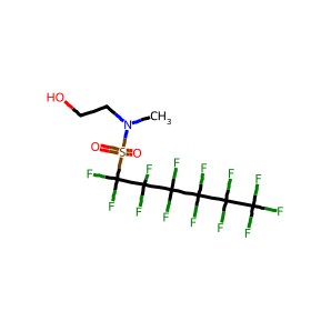 CN(CCO)S(=O)(=O)C(F)(F)C(F)(F)C(F)(F)C(F)(F)C(F)(F)C(F)(F)F